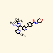 Cc1cccc(-c2[nH]c(C(C)(C)C)nc2-c2ccnc(-c3ccc(C(=O)NC4CCOCC4)cc3)c2)n1